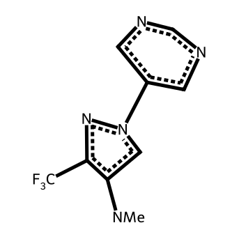 CNc1cn(-c2cncnc2)nc1C(F)(F)F